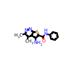 Cc1nnc2sc(C(=O)Nc3ccccc3)c(N)c2c1C